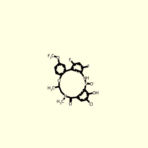 CC1CN(C)C(=O)c2cc(Cl)c(O)c(c2)[S+]([O-])Nc2cc(c(F)cc2F)-c2cc(OC(F)(F)F)ccc2O1